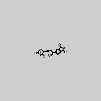 O=CC(CC#CC1CCC(=O)NC1=O)c1ccc2c(c1)C(=O)NC2=O